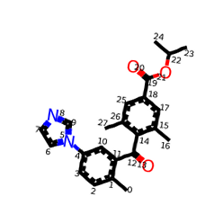 Cc1ccc(-n2ccnc2)cc1C(=O)c1c(C)cc(C(=O)OC(C)C)cc1C